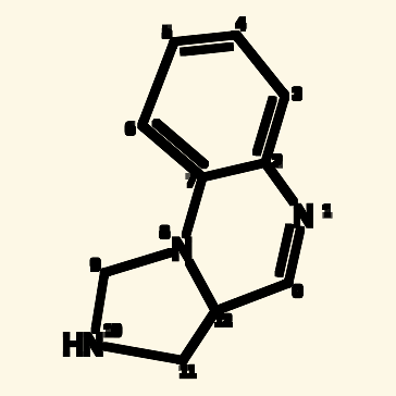 C1=Nc2ccccc2N2CNCC12